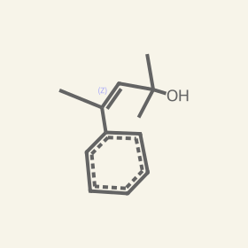 C/C(=C/C(C)(C)O)c1ccccc1